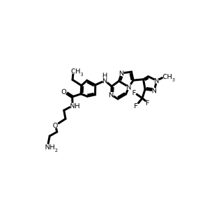 CCc1cc(Nc2nccn3c(-c4cn(C)nc4C(F)(F)F)cnc23)ccc1C(=O)NCCOCCN